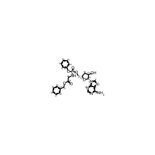 Nc1ncnc2c1ncn2[C@@H]1O[C@H](COP(=O)(NCC(=O)OCc2ccccc2)Oc2ccccc2)CC1O